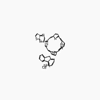 C1=Cc2cc3ccc(cc4nc(cc5ccc(cc1n2)[nH]5)C=C4)[nH]3.[Cd].[SiH4].c1ccc2c(c1)Cc1ccccc1-2.c1cnc2sccc2n1